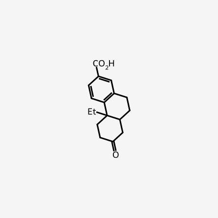 CCC12CCC(=O)CC1CCc1cc(C(=O)O)ccc12